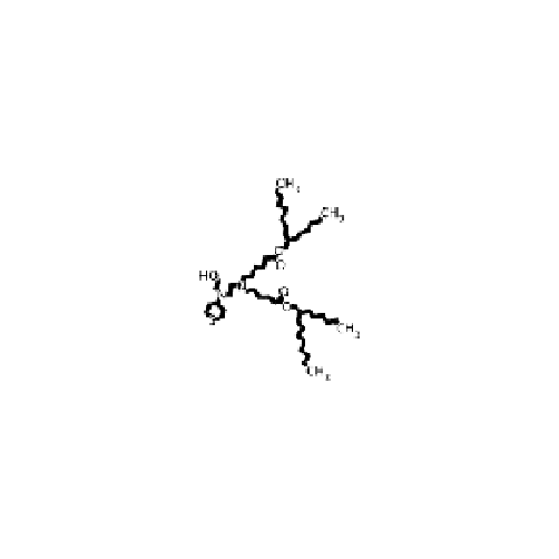 CCCCCCCCC(CCCCCC)COC(=O)CCCCCN(CCCCCC(=O)OCC(CCCCCC)CCCCCCCC)CCN(CCO)C1CCSCC1